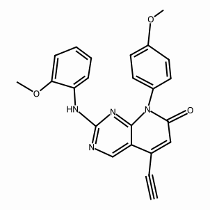 C#Cc1cc(=O)n(-c2ccc(OC)cc2)c2nc(Nc3ccccc3OC)ncc12